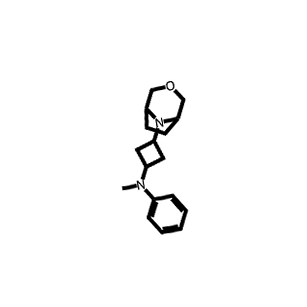 CN(c1ccccc1)C1CC(N2C3CCC2COC3)C1